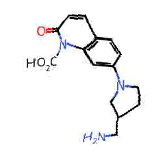 NCC1CCN(c2ccc3ccc(=O)n(C(=O)O)c3c2)C1